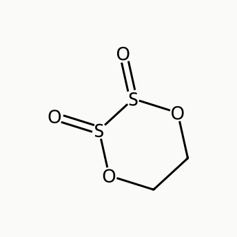 O=S1OCCOS1=O